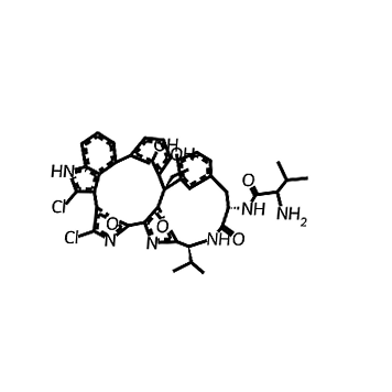 CC[C@@]12c3cc(ccc3O)C[C@H](NC(=O)C(N)C(C)C)C(=O)N[C@@H](C(C)C)c3nc(c1o3)-c1nc(Cl)c(o1)-c1c(Cl)[nH]c3cccc(c13)-c1cccc2c1O